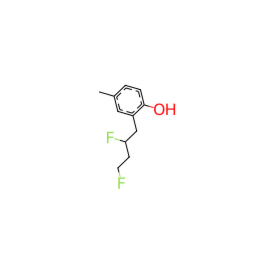 Cc1ccc(O)c(CC(F)CCF)c1